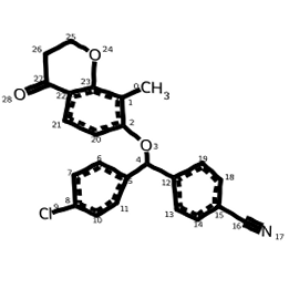 Cc1c(OC(c2ccc(Cl)cc2)c2ccc(C#N)cc2)ccc2c1OCCC2=O